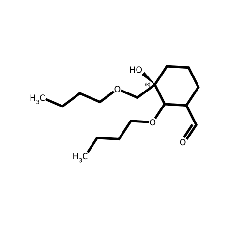 CCCCOC[C@]1(O)CCCC(C=O)C1OCCCC